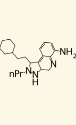 CCCN1NC2CN=c3c(N)cccc3=C2C1CCC1CCCCC1